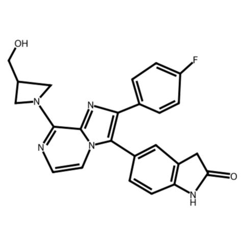 O=C1Cc2cc(-c3c(-c4ccc(F)cc4)nc4c(N5CC(CO)C5)nccn34)ccc2N1